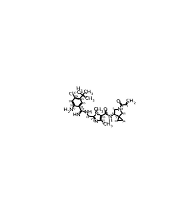 C=CC(=O)N1C[C@H](NC(=O)c2c(C)nc(CNC(=N)c3cc(C(C)(C)C)c(Cl)cc3N)n2C)C2(CC2)C1